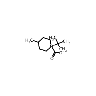 CC1CC[N+](C(=O)[O-])(C(C)(C)C)CC1